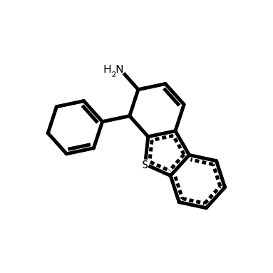 NC1C=Cc2c(sc3ccccc23)C1C1=CCCC=C1